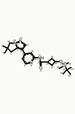 CC1(C)Cc2c(-c3ccnc(NC(=O)C4CC(O[Si](C)(C)C(C)(C)C)C4)c3)cnn2C1